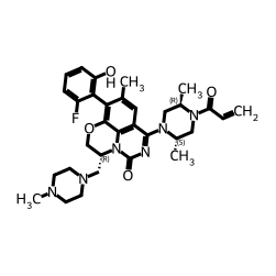 C=CC(=O)N1C[C@H](C)N(c2nc(=O)n3c4c(c(-c5c(O)cccc5F)c(C)cc24)OC[C@H]3CN2CCN(C)CC2)C[C@H]1C